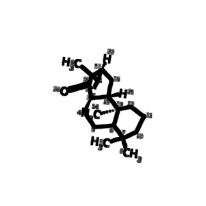 CC1C[C@]23CCC4C(C)(C)CCC[C@]4(C)[C@H]2C[C@@H]1CC3=O